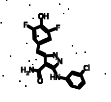 NC(=O)C1=C(Nc2cccc(Cl)c2)N=NC1=Cc1cc(F)c(O)c(F)c1